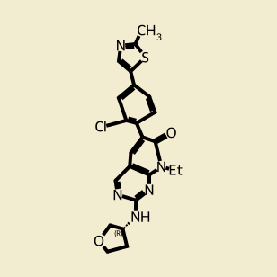 CCn1c(=O)c(-c2ccc(-c3cnc(C)s3)cc2Cl)cc2cnc(N[C@@H]3CCOC3)nc21